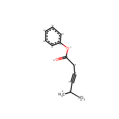 CC(C#CCC(=O)Oc1ccccc1)[N+](=O)[O-]